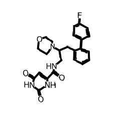 O=C(NCC(Cc1ccccc1-c1ccc(F)cc1)N1CCOCC1)c1cc(=O)[nH]c(=O)[nH]1